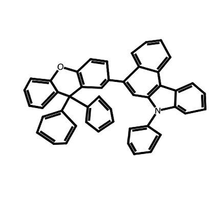 c1ccc(-n2c3ccccc3c3c4ccccc4c(-c4ccc5c(c4)C(c4ccccc4)(c4ccccc4)c4ccccc4O5)cc32)cc1